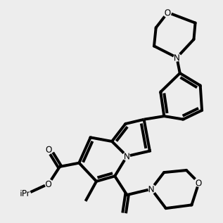 C=C(c1c(C)c(C(=O)OC(C)C)cc2cc(-c3cccc(N4CCOCC4)c3)cn12)N1CCOCC1